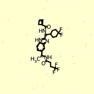 C[C@@H](NC(=O)CCC(F)(F)F)c1ccc2[nH]c([C@@H](NC(=O)C34CC(C3)C4)C3CCC(F)(F)CC3)nc2c1